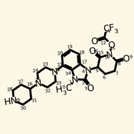 Cn1c(=O)n(C2CCC(=O)N(OC(=O)C(F)(F)F)C2=O)c2cccc(N3CCN(C4CCNCC4)CC3)c21